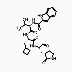 CC(C)[C@H](NC(=O)c1cc2ccccc2[nH]1)C(=O)N[C@@H](CC1CCC1)C(=O)N[C@H](C=O)C[C@@H]1CCNC1=O